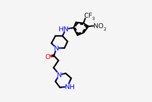 O=C(CCN1CCNCC1)N1CCC(Nc2ccc([N+](=O)[O-])c(C(F)(F)F)c2)CC1